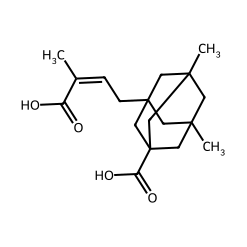 CC(=CCC12CC3(C)CC(C)(C1)CC(C(=O)O)(C3)C2)C(=O)O